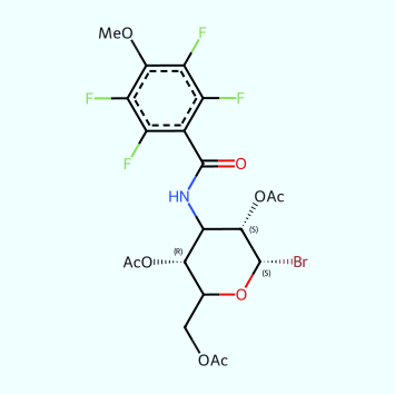 COc1c(F)c(F)c(C(=O)NC2[C@@H](OC(C)=O)C(COC(C)=O)O[C@@H](Br)[C@H]2OC(C)=O)c(F)c1F